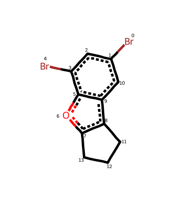 Brc1cc(Br)c2oc3c(c2c1)CCC3